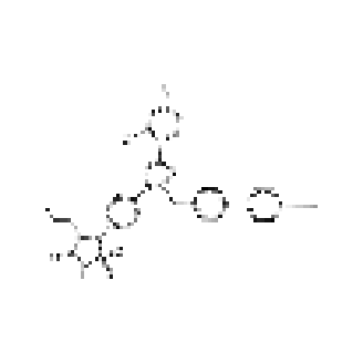 CCC[C@H]1C(=O)NS(=O)(=O)N1c1ccc(-n2cc(-c3ccc(Cl)cc3Cl)nc2Cc2ccc(-c3ccc(C(C)(C)C)cc3)cc2)cc1